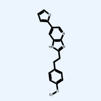 CCOc1ccc(CCc2nc3ncc(-c4ccco4)cc3[nH]2)cc1